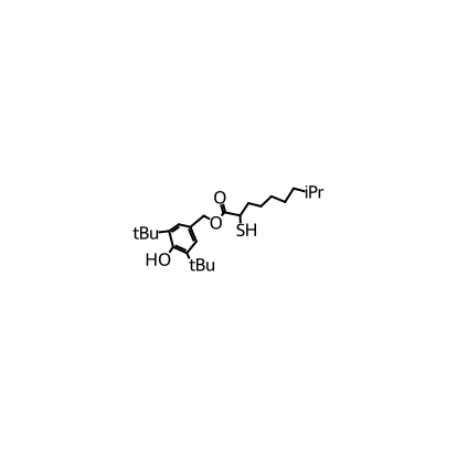 CC(C)CCCCCC(S)C(=O)OCc1cc(C(C)(C)C)c(O)c(C(C)(C)C)c1